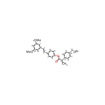 COc1cc(/C=C/c2ccc(OC(=O)C(C)c3ccc(CC(C)C)cc3)cc2)cc(OC)c1